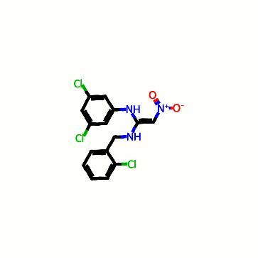 O=[N+]([O-])C=C(NCc1ccccc1Cl)Nc1cc(Cl)cc(Cl)c1